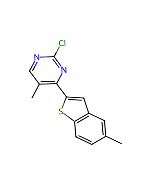 Cc1ccc2sc(-c3nc(Cl)ncc3C)cc2c1